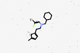 CC/C(F)=C/N(CCC1=CC=C(C)[C@@H]1C)CC1CCCCC1